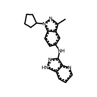 Cc1nn(C2CCCC2)c2ccc(Nc3n[nH]c4cccnc34)cc12